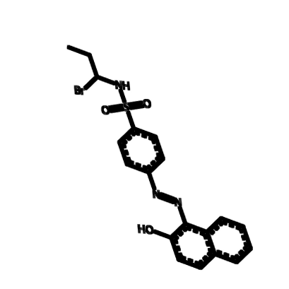 CCC(Br)NS(=O)(=O)c1ccc(N=Nc2c(O)ccc3ccccc23)cc1